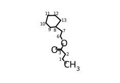 CCCC(=O)OCCC1CCCCC1